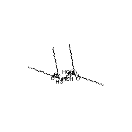 CCCCC/C=C/C/C=C/CCCCCCCC(=O)OCC(COP(O)OCC(O)COP(O)OCC(COC(=O)CCCCCCC/C=C/C/C=C/CCCCC)OC(=O)CCCCCCC/C=C/C/C=C/CCCCC)OC(=O)CCCCCCC/C=C/C/C=C/CCCCC